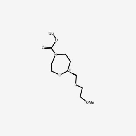 COCCOC[C@@H]1CCN(C(=O)OC(C)(C)C)CCO1